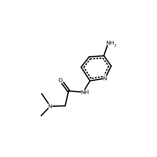 CN(C)CC(=O)Nc1ccc(N)cn1